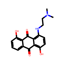 CN(C)CCNc1ccc(O)c2c1C(=O)c1c(O)cccc1C2=O